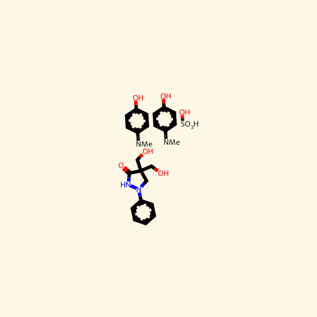 CNc1ccc(O)cc1.CNc1ccc(O)cc1.O=C1NN(c2ccccc2)CC1(CO)CO.O=S(=O)(O)O